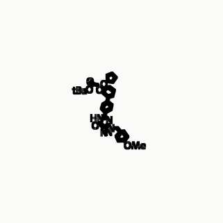 COc1ccc(Cn2nnc3c(=O)[nH]c(-c4ccc(C5=CC=CC(OCC(=O)OC(C)(C)C)(OC6CCCC6)C5)cc4)nc32)cc1